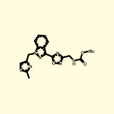 Cc1nc(Cn2nc(-c3nc(CNC(=O)OC(C)(C)C)no3)c3ccccc32)cs1